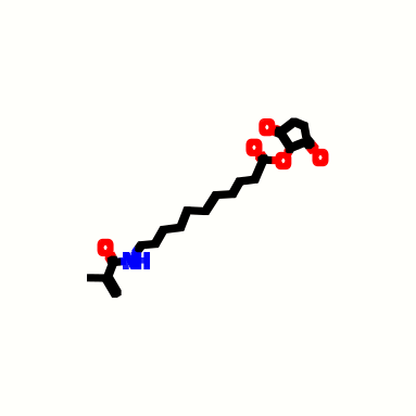 C=C(C)C(=O)NCCCCCCCCCCC(=O)OC1C(=O)CCC1=O